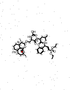 CCOP(=O)(/C=C/C(NC(=O)C(CC(C)C)NC(=O)C(CO[C@H]1O[C@@H]2O[C@@]3(C)CC[C@H]4[C@H](C)CC[C@@H]([C@H]1C)[C@@]24OO3)NC(=O)O)c1ccccc1)OCC